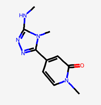 CNc1nnc(-c2ccn(C)c(=O)c2)n1C